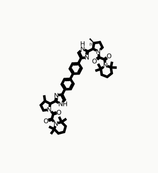 CC1CCN(C(=O)C(=O)N2C(C)(C)CCCC2(C)C)C1c1nc(-c2ccc(-c3ccc(-c4c[nH]c(C5[C@@H](C)CCN5C(=O)C(=O)N5C(C)(C)CCCC5(C)C)n4)cc3)cc2)c[nH]1